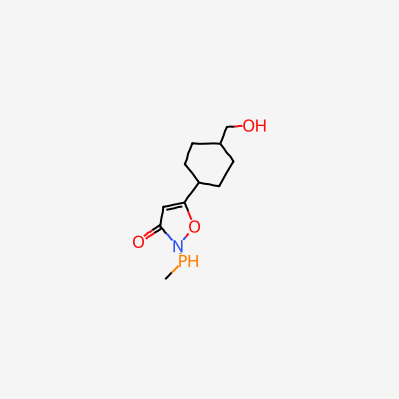 CPn1oc(C2CCC(CO)CC2)cc1=O